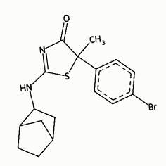 CC1(c2ccc(Br)cc2)SC(NC2CC3CCC2C3)=NC1=O